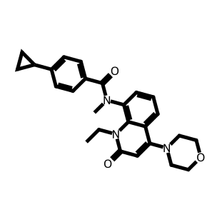 CCn1c(=O)cc(N2CCOCC2)c2cccc(N(C)C(=O)c3ccc(C4CC4)cc3)c21